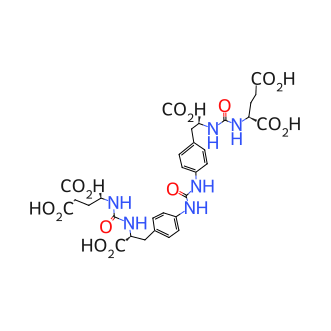 O=C(O)CC[C@H](NC(=O)N[C@@H](Cc1ccc(NC(=O)Nc2ccc(C[C@H](NC(=O)N[C@@H](CCC(=O)O)C(=O)O)C(=O)O)cc2)cc1)C(=O)O)C(=O)O